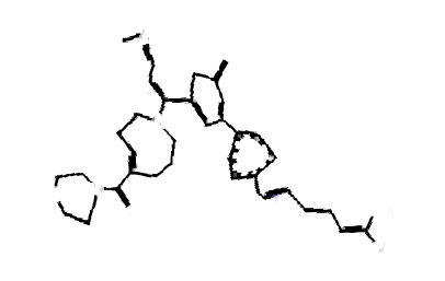 C=C1C=C(c2ccc(/C=C/CCC=C(CCC)CCC)cc2)C=C(/C(=C\C=N/C)N2CC/C=C(\C(=O)N3CCOCC3)CCC2)C1